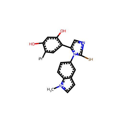 CC(C)c1cc(-c2cnc(S)n2-c2ccc3c(ccn3C)c2)c(O)cc1O